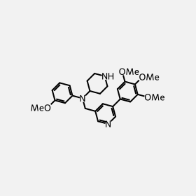 COc1cccc(N(Cc2cncc(-c3cc(OC)c(OC)c(OC)c3)c2)C2CCNCC2)c1